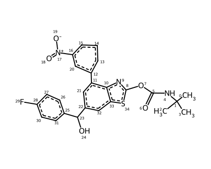 CC(C)(C)NC(=O)Oc1nc2c(-c3cccc([N+](=O)[O-])c3)cc(C(O)c3ccc(F)cc3)cc2s1